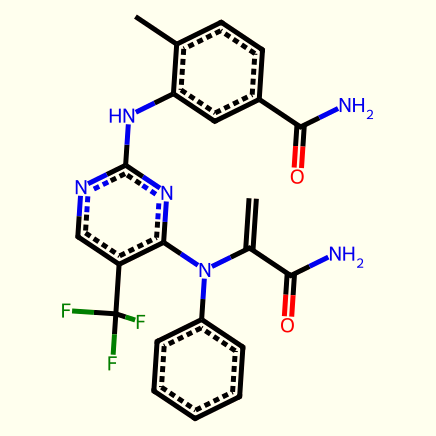 C=C(C(N)=O)N(c1ccccc1)c1nc(Nc2cc(C(N)=O)ccc2C)ncc1C(F)(F)F